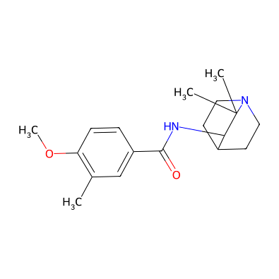 COc1ccc(C(=O)NC2C3CCN(CC3)C2(C)C)cc1C